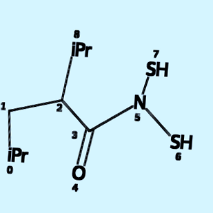 CC(C)CC(C(=O)N(S)S)C(C)C